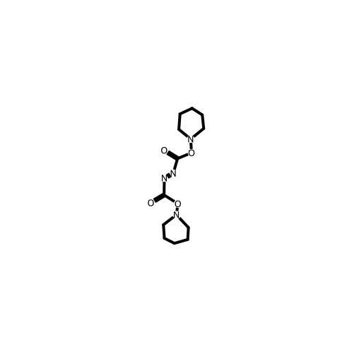 O=C(/N=N/C(=O)ON1CCCCC1)ON1CCCCC1